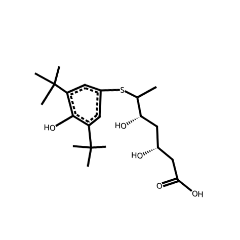 CC(Sc1cc(C(C)(C)C)c(O)c(C(C)(C)C)c1)[C@@H](O)C[C@@H](O)CC(=O)O